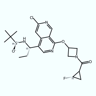 CC[C@H](N[S@@+]([O-])C(C)(C)C)c1cnc(OC2CN(C(=O)C3C[C@@H]3F)C2)c2cnc(Cl)cc12